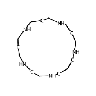 C1CNCCCNCCCNCCNCCCNC1